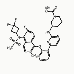 Cc1ccc2c(N(C3CC(F)(F)C3)S(C)(=O)=O)c(F)ccc2c1Oc1ncccc1-c1ccnc(NC2CCCN(C(=O)OC(C)(C)C)C2)n1